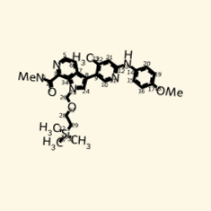 CNC(=O)c1nccc2c(-c3cnc(Nc4ccc(OC)cc4)cc3C)cn(COCC[Si](C)(C)C)c12